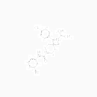 CC(C)N1CC2(CCN(C(=O)Nc3cccc(Br)c3)CC2)C1c1ccc(Cl)cc1